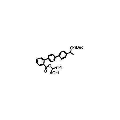 CCCCCCCCCCOC(C)c1ccc(-c2ccc(-c3ccccc3C(=O)OC(CCC)CCCCCCCC)cc2)cc1